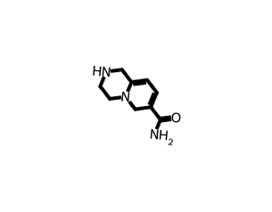 NC(=O)C1=CC=C2CNCCN2C1